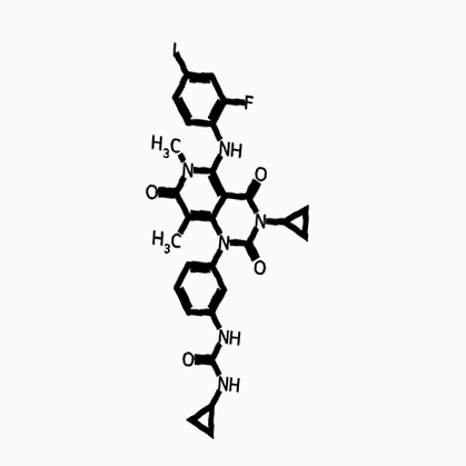 Cc1c(=O)n(C)c(Nc2ccc(I)cc2F)c2c(=O)n(C3CC3)c(=O)n(-c3cccc(NC(=O)NC4CC4)c3)c12